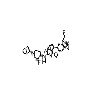 COc1nc(N[C@@H]2CCN(C3COC3)C[C@H]2F)nn2ccc(-c3ccc4nnn(CCF)c4c3)c12